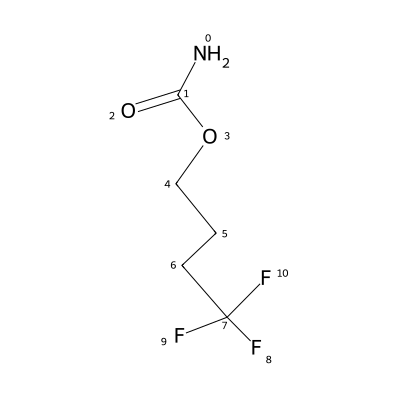 NC(=O)OCCCC(F)(F)F